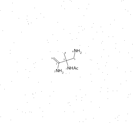 C=C(N)C(C)(CN)NC(C)=O